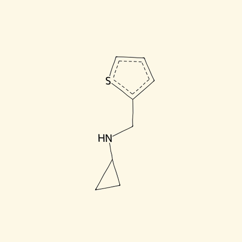 c1csc(CNC2CC2)c1